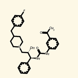 CC(=O)c1cccc(NC(=O)N[C@@H](c2ccccc2)[C@@H](O)CN2CCC(Cc3ccc(F)cc3)CC2)c1